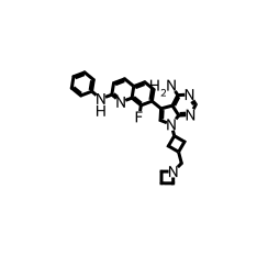 Nc1ncnc2c1c(-c1ccc3ccc(Nc4ccccc4)nc3c1F)cn2C1CC(CN2CCC2)C1